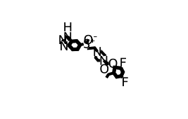 CC(OC(=O)N1CCN(CC[S+]([O-])c2ccc3nn[nH]c3c2)CC1)c1cc(F)cc(F)c1